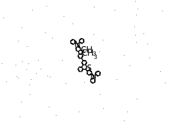 CC1(C)c2cc(-c3ccc4c(c3)c3ccccc3c3c5ccc(N(c6ccccc6)c6ccccc6)cc5sc43)ccc2C2C=CC(N(c3ccccc3)c3ccccc3)=CC21